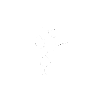 Cc1noc2c1-c1ccccc1C(c1ccc(C#N)cc1)=NC2N